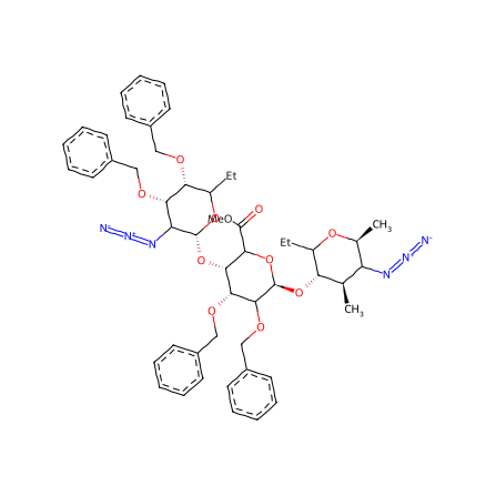 CCC1O[C@@H](C)C(N=[N+]=[N-])[C@@H](C)[C@@H]1O[C@@H]1OC(C(=O)OC)[C@@H](O[C@H]2OC(CC)[C@@H](OCc3ccccc3)[C@@H](OCc3ccccc3)C2N=[N+]=[N-])[C@@H](OCc2ccccc2)C1OCc1ccccc1